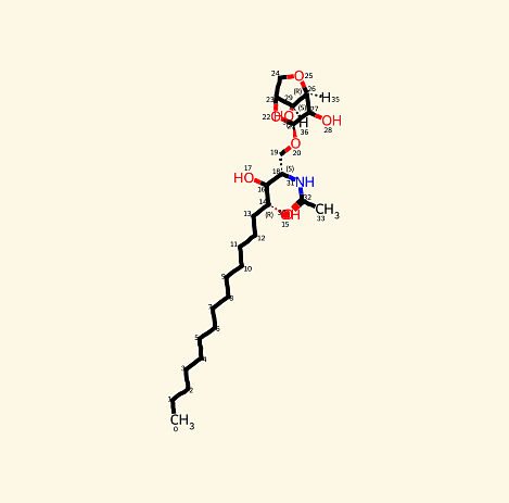 CCCCCCCCCCCCCC[C@@H](O)C(O)[C@H](CO[C@H]1OC2CO[C@@H](C1O)[C@H]2O)NC(C)=O